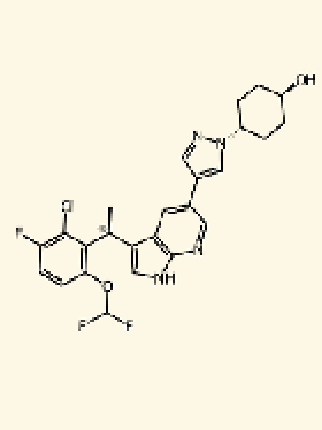 C[C@H](c1c(OC(F)F)ccc(F)c1Cl)c1c[nH]c2ncc(-c3cnn([C@H]4CC[C@H](O)CC4)c3)cc12